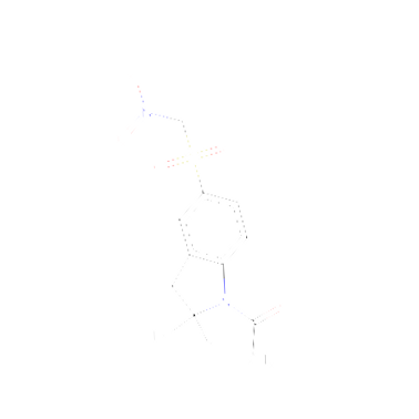 CC(=O)N1c2ccc(S(=O)(=O)C[N+](=O)[O-])cc2CC1(C)C